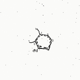 Cc1ccccc1C.[Pd]